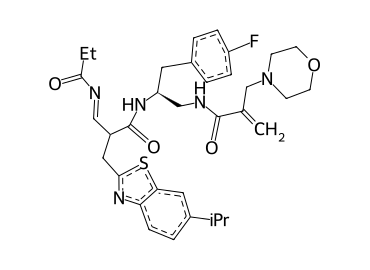 C=C(CN1CCOCC1)C(=O)NC[C@H](Cc1ccc(F)cc1)NC(=O)C(/C=N/C(=O)CC)Cc1nc2ccc(C(C)C)cc2s1